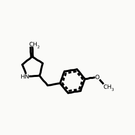 C=C1CNC(Cc2ccc(OC)cc2)C1